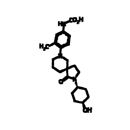 Cc1cc(NC(=O)O)ccc1N1CCC[C@]2(CCN([C@H]3CC[C@H](O)CC3)C2=O)C1